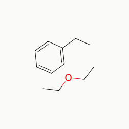 CCOCC.CCc1ccccc1